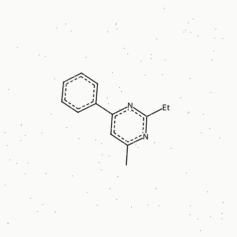 CCc1nc(C)cc(-c2ccccc2)n1